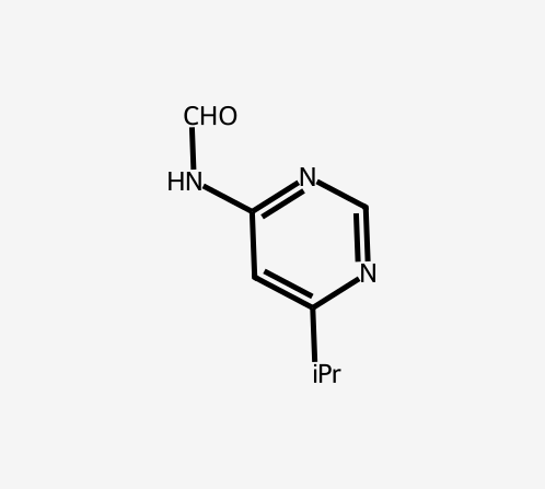 CC(C)c1cc(NC=O)ncn1